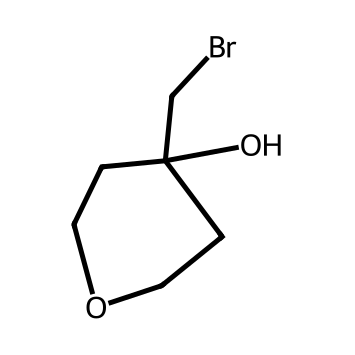 OC1(CBr)CCOCC1